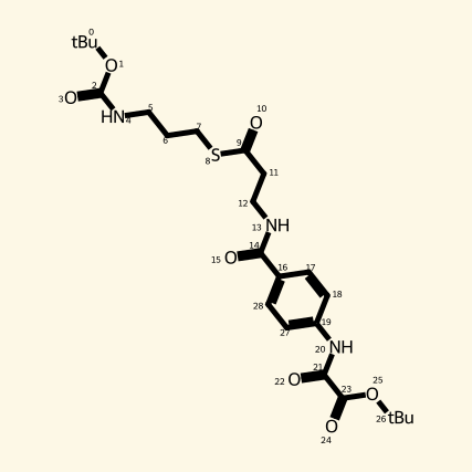 CC(C)(C)OC(=O)NCCCSC(=O)CCNC(=O)c1ccc(NC(=O)C(=O)OC(C)(C)C)cc1